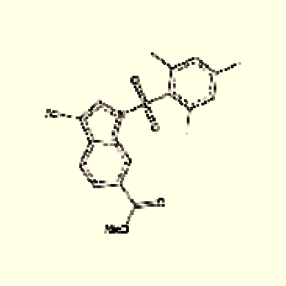 COC(=O)c1ccc2c(C(C)=O)cn(S(=O)(=O)c3c(C)cc(C)cc3C)c2c1